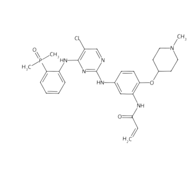 C=CC(=O)Nc1cc(Nc2ncc(Cl)c(Nc3ccccc3P(C)(C)=O)n2)ccc1OC1CCN(C)CC1